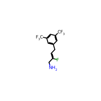 NC/C(F)=C/Cc1cc(C(F)(F)F)cc(C(F)(F)F)c1